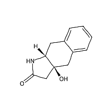 O=C1C[C@@]2(O)Cc3ccccc3C[C@H]2N1